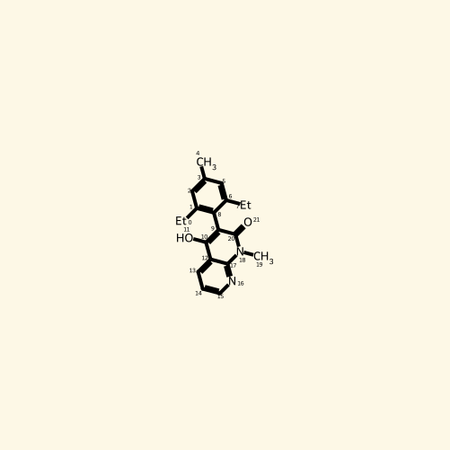 CCc1cc(C)cc(CC)c1-c1c(O)c2cccnc2n(C)c1=O